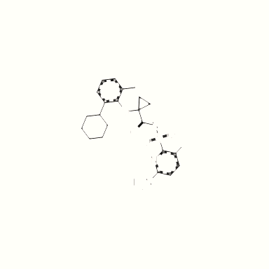 Cc1cccc(C2CCCCC2)c1OC1(C(=O)NS(=O)(=O)c2nc(N)ccc2F)CC1